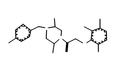 CC1CN(C(=O)COc2c(Cl)ccc(Cl)c2Cl)C(C)CN1Cc1ccc(F)cc1